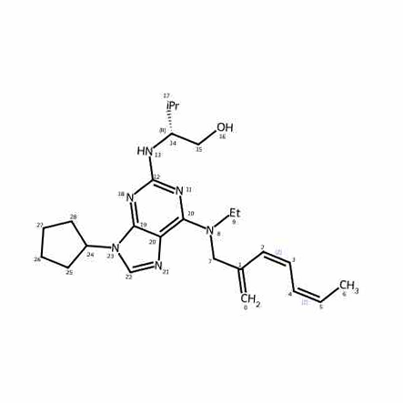 C=C(/C=C\C=C/C)CN(CC)c1nc(N[C@@H](CO)C(C)C)nc2c1ncn2C1CCCC1